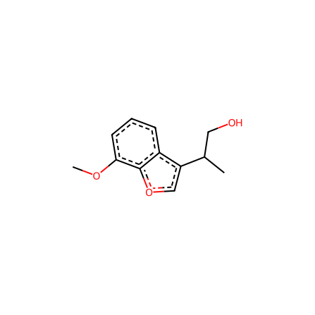 COc1cccc2c(C(C)CO)coc12